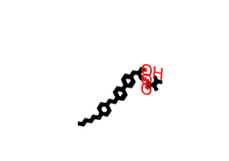 CCCCCCC1CCC(CCc2ccc(-c3ccc(CC(CO)COC(=O)C(C)=C(C)C)cc3)cc2)CC1